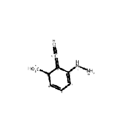 NNC1=CC=CC(C(=O)O)C1=C=O